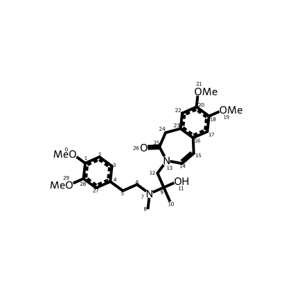 COc1ccc(CCN(C)C(C)(O)CN2C=Cc3cc(OC)c(OC)cc3CC2=O)cc1OC